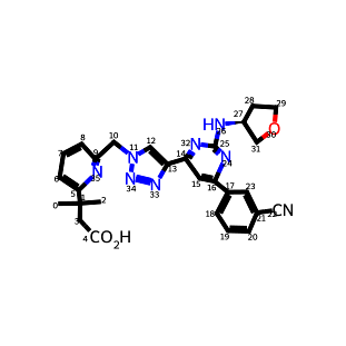 CC(C)(CC(=O)O)c1cccc(Cn2cc(-c3cc(-c4cccc(C#N)c4)nc(N[C@H]4CCOC4)n3)nn2)n1